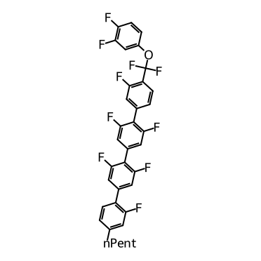 CCCCCc1ccc(-c2cc(F)c(-c3cc(F)c(-c4ccc(C(F)(F)Oc5ccc(F)c(F)c5)c(F)c4)c(F)c3)c(F)c2)c(F)c1